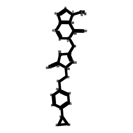 Cn1cnc2ncn(Cc3nn(CCc4ccc(C5CC5)cc4)c(=O)o3)c(=O)c21